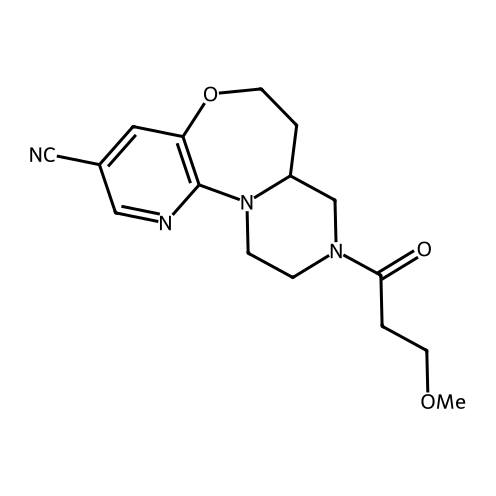 COCCC(=O)N1CCN2c3ncc(C#N)cc3OCCC2C1